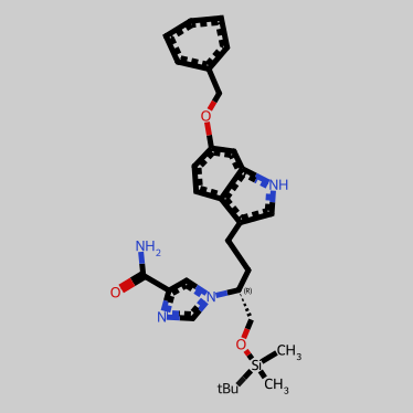 CC(C)(C)[Si](C)(C)OC[C@@H](CCc1c[nH]c2cc(OCc3ccccc3)ccc12)n1cnc(C(N)=O)c1